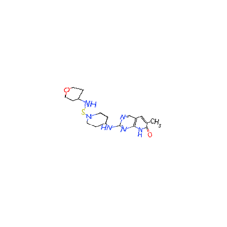 Cc1cc2cnc(NC3CCN(SNC4CCOCC4)CC3)nc2[nH]c1=O